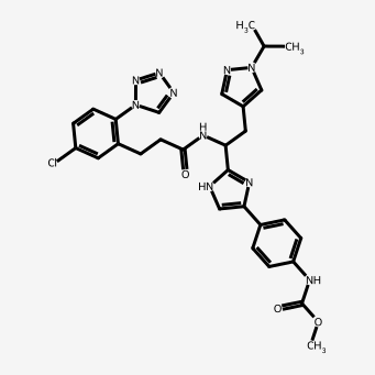 COC(=O)Nc1ccc(-c2c[nH]c(C(Cc3cnn(C(C)C)c3)NC(=O)CCc3cc(Cl)ccc3-n3cnnn3)n2)cc1